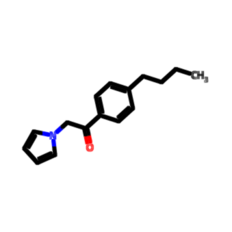 CCCCc1ccc(C(=O)Cn2cccc2)cc1